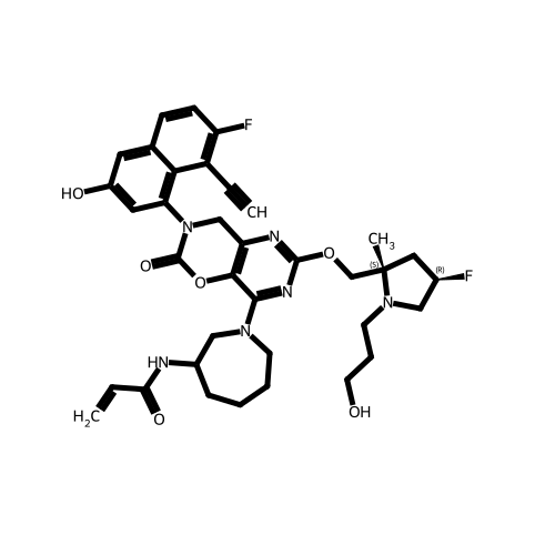 C#Cc1c(F)ccc2cc(O)cc(N3Cc4nc(OC[C@]5(C)C[C@@H](F)CN5CCCO)nc(N5CCCCC(NC(=O)C=C)C5)c4OC3=O)c12